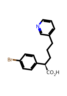 O=C(O)[C@H](CCCc1cccnc1)c1ccc(Br)cc1